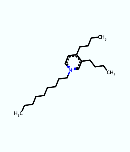 CCCCCCCCC[n+]1ccc(CCCC)c(CCCC)c1